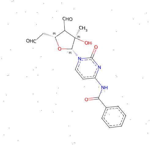 C[C@@]1(O)C(C=O)[C@@H](CC=O)O[C@H]1n1ccc(NC(=O)c2ccccc2)nc1=O